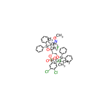 CON=C[C@H](F)[C@H](O[Si](c1ccccc1)(c1ccccc1)C(C)(C)C)[C@@H](CO[Si](c1ccccc1)(c1ccccc1)C(C)(C)C)OS(=O)(=O)c1cc(Cl)c(Cl)cc1Cl